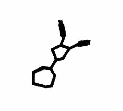 N#CC1CC(C2CCCCCC2)CC1C#N